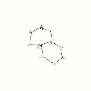 C1CCN2CC[N]CC2C1